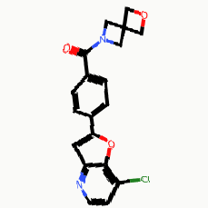 O=C(c1ccc(-c2cc3nccc(Cl)c3o2)cc1)N1CC2(COC2)C1